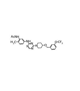 CC(=O)Nc1cc(Nc2ncnc(N3CCC(OCc4cccc(OC(F)(F)F)c4)CC3)n2)ccc1C